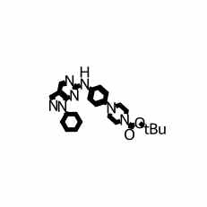 CC(C)(C)OC(=O)N1CCN(c2ccc(Nc3ncc4cnn(C5CCCCC5)c4n3)cc2)CC1